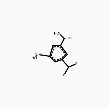 C[C@@H](N)c1cc(C(F)F)cc([N+](=O)[O-])c1.Cl